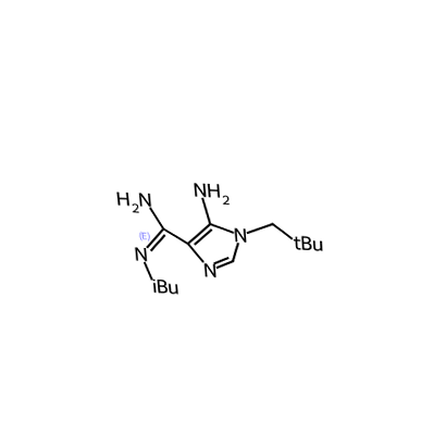 CCC(C)/N=C(/N)c1ncn(CC(C)(C)C)c1N